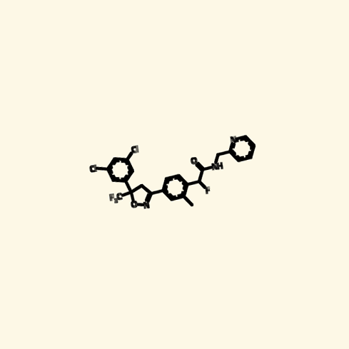 Cc1cc(C2=NOC(c3cc(Cl)cc(Cl)c3)(C(F)(F)F)C2)ccc1C(F)C(=O)NCc1ccccn1